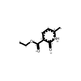 CCOC(=O)c1ccc(C)[nH]c1=O